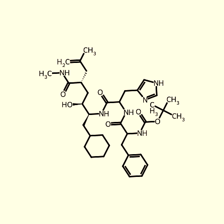 C=C(C)C[C@H](C[C@H](O)[C@H](CC1CCCCC1)NC(=O)C(Cc1c[nH]cn1)NC(=O)C(Cc1ccccc1)NC(=O)OC(C)(C)C)C(=O)NC